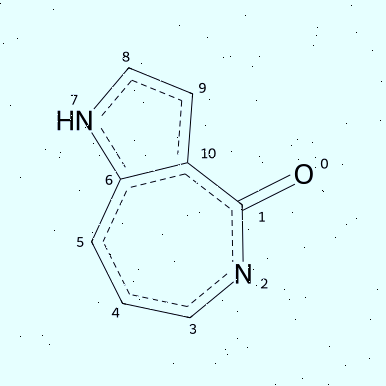 O=c1ncccc2[nH]ccc12